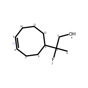 CC(F)(CO)C1CC/C=C\CCC1